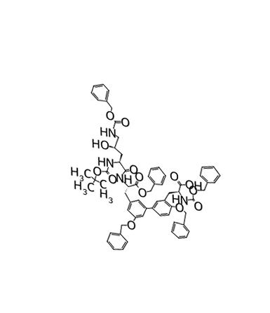 CC(C)(C)OC(=O)N[C@@H](C[C@@H](O)CNC(=O)OCc1ccccc1)C(=O)N[C@@H](Cc1cc(OCc2ccccc2)cc(-c2ccc(OCc3ccccc3)c(C[C@H](NC(=O)OCc3ccccc3)C(=O)O)c2)c1)C(=O)OCc1ccccc1